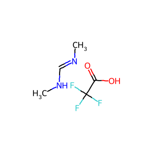 CN=CNC.O=C(O)C(F)(F)F